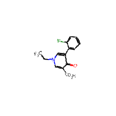 O=C(O)c1cn(CC(F)(F)F)cc(-c2ccccc2F)c1=O